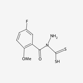 COc1ccc(F)cc1C(=O)N(N)C(=S)S